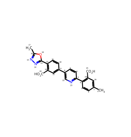 Cc1ccc(-c2ccc(-c3ccc(-c4nnc(C)o4)c(C(=O)O)c3)cn2)c(C(=O)O)c1